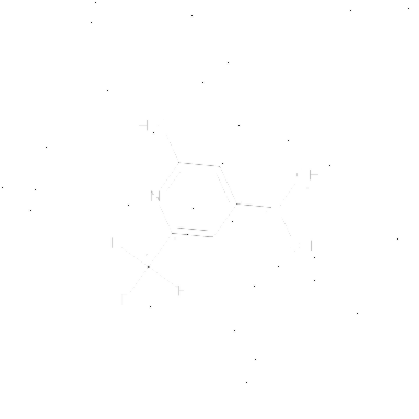 Cc1cc(B(O)O)cc(C(F)(F)F)n1